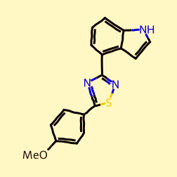 COc1ccc(-c2nc(-c3cccc4[nH]ccc34)ns2)cc1